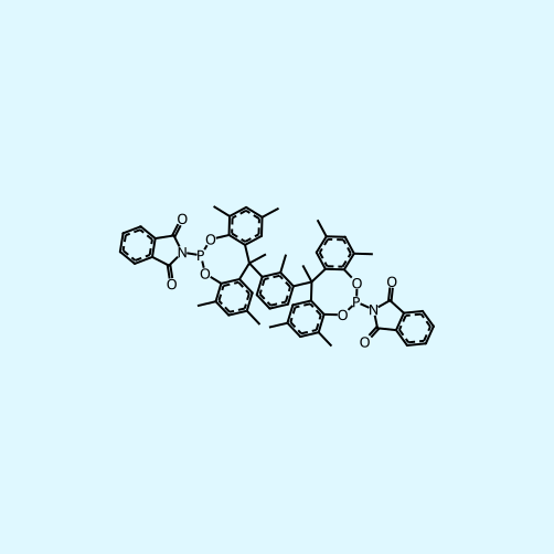 Cc1cc(C)c2c(c1)C(C)(c1cccc(C3(C)c4cc(C)cc(C)c4OP(N4C(=O)c5ccccc5C4=O)Oc4c(C)cc(C)cc43)c1C)c1cc(C)cc(C)c1OP(N1C(=O)c3ccccc3C1=O)O2